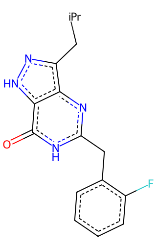 CC(C)Cc1n[nH]c2c(=O)[nH]c(Cc3ccccc3F)nc12